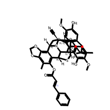 C=CCN1[C@H]2c3c(cc(C)c(OC)c3O)C[C@H]1[C@H](C#N)N1C2[C@@H]2SC[C@]3(NCCc4cc(O)c(OC)cc43)C(=O)OC[C@H]1c1c3c(c(C)c(OC(=O)/C=C/c4ccccc4)c12)OCO3